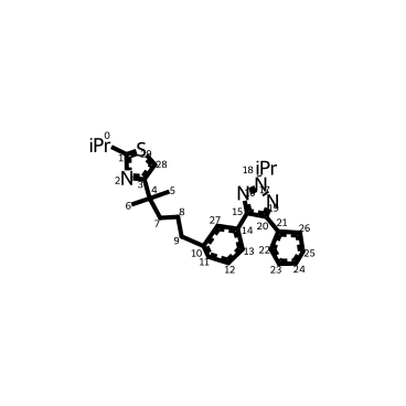 CC(C)c1nc(C(C)(C)CCCc2cccc(-c3nn(C(C)C)nc3-c3ccccc3)c2)cs1